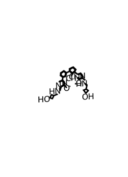 COc1nc(-c2cccc(-c3cccc(-c4cnc(CNCC5CC(O)C5)c(OC)n4)c3Cl)c2Cl)cnc1CNCC1CC(O)C1